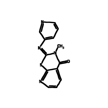 Cn1c(=Nc2cccnc2)sc2ncccc2c1=O